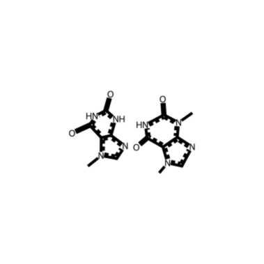 Cn1cnc2[nH]c(=O)[nH]c(=O)c21.Cn1cnc2c1c(=O)[nH]c(=O)n2C